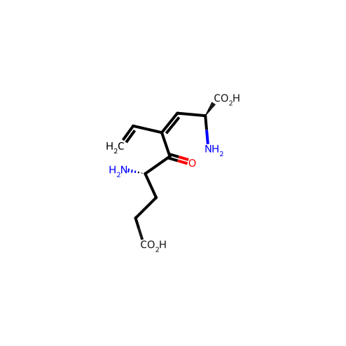 C=C/C(=C/[C@H](N)C(=O)O)C(=O)[C@@H](N)CCC(=O)O